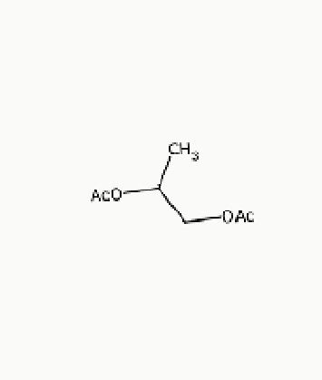 C[C](COC(C)=O)OC(C)=O